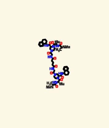 CN[C@@H](C)C(=O)N[C@H](C(=O)N1CCN(C(=O)CNC(=O)CCCC(=O)NCC(=O)N2CCN(C(=O)[C@@H](NC(=O)[C@H](C)NC)C(C)(C)C)[C@H](C(=O)N[C@@H]3CCCc4ccccc43)C2)C[C@H]1C(=O)N[C@@H]1CCCc2ccccc21)C(C)(C)C